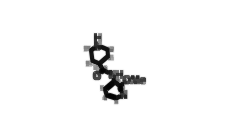 COc1ncccc1NC(=O)C1CCNCC1